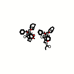 CC(=O)N1CCC1C(=O)N[C@@H](CCN1C2CCC1CC(n1c(C)nc3ccccc31)C2)c1ccccc1.CCC(=O)N1CC(C(=O)N[C@@H](CCN2C3CCC2CC(n2c(C)nc4ccccc42)C3)c2ccccc2)C1